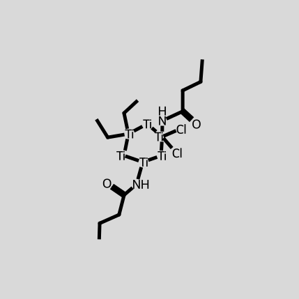 CCCC(=O)[NH][Ti]1[Ti][Ti]([CH2]C)([CH2]C)[Ti][Ti]([Cl])([Cl])([NH]C(=O)CCC)[Ti]1